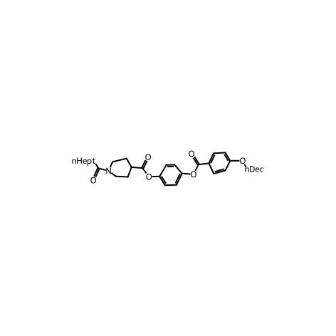 CCCCCCCCCCOc1ccc(C(=O)Oc2ccc(OC(=O)C3CCN(C(=O)CCCCCCC)CC3)cc2)cc1